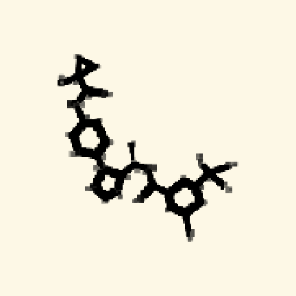 C[C@H](NC(=O)c1cc(Cl)cc(C(F)(F)F)c1)c1ncnn1-c1ccc(NC(=O)C2(Cl)CC2)cn1